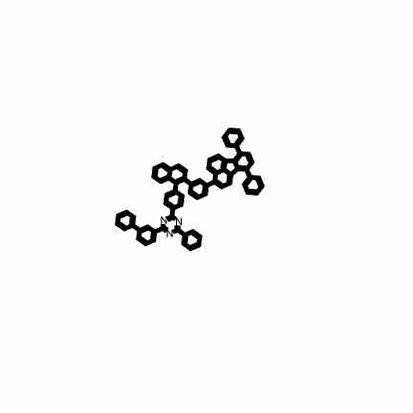 c1ccc(-c2cccc(-c3nc(-c4ccccc4)nc(-c4ccc(-c5c(-c6cccc(-c7ccc8c9c(cccc79)-c7c(-c9ccccc9)ccc(-c9ccccc9)c7-8)c6)ccc6ccccc56)cc4)n3)c2)cc1